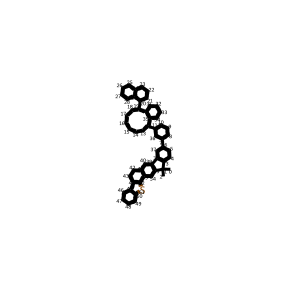 CC1(C)c2ccc(-c3cccc(-c4ccccccc(-c5cccc6ccccc56)c5ccccc45)c3)cc2-c2cc3ccc4c5ccccc5sc4c3cc21